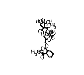 CCC(C(=O)OCC(COC(=O)C1CCCCC1C(=O)OC)OP(=O)(O)O)(C(C)C)C(C)C